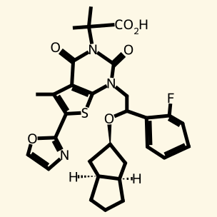 Cc1c(-c2ncco2)sc2c1c(=O)n(C(C)(C)C(=O)O)c(=O)n2CC(O[C@H]1C[C@H]2CCC[C@H]2C1)c1ccccc1F